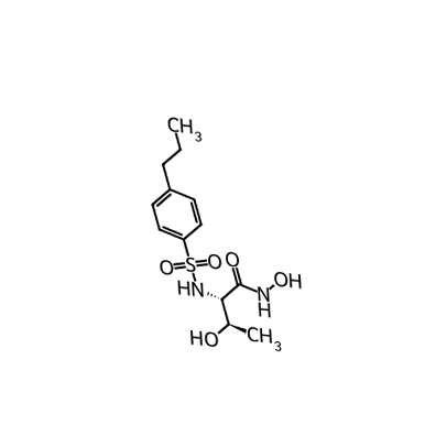 CCCc1ccc(S(=O)(=O)N[C@H](C(=O)NO)[C@@H](C)O)cc1